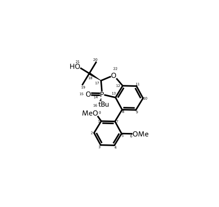 COc1cccc(OC)c1-c1cccc2c1[P@](=O)(C(C)(C)C)[C@@H](C(C)(C)O)O2